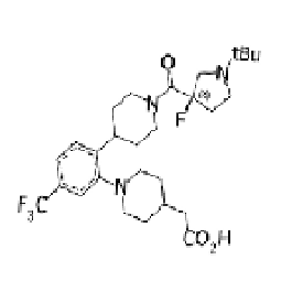 CC(C)(C)N1CC[C@](F)(C(=O)N2CCC(c3ccc(C(F)(F)F)cc3N3CCC(CC(=O)O)CC3)CC2)C1